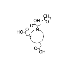 CC(=O)CCC(C(=O)O)N1CCCCC(CC(=O)O)CCCN(CC(=O)O)CC1